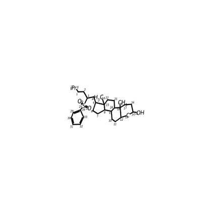 CC(C)CCC(CC1CCC2C3CCC4CC(O)CCC4(C)C3CCC12C)S(=O)(=O)c1ccccc1